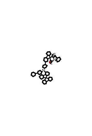 c1ccc(-c2ccc(N(c3ccc(-c4ccc5c(c4)C4(c6ccccc6-5)c5ccccc5-n5c6ccccc6c6cccc4c65)cc3)c3cccc4c3-c3ccccc3C43c4ccccc4-c4ccccc43)cc2)cc1